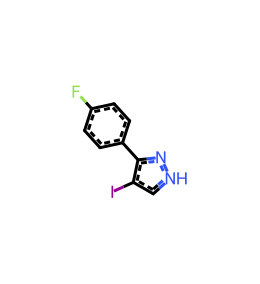 Fc1ccc(-c2n[nH]cc2I)cc1